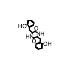 O=C1NC(Cc2ccccc2O)C(=O)NC1Cc1ccccc1O